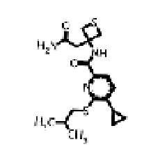 CC(C)CSc1nc(C(=O)NC2(CC(N)=O)CSC2)ccc1C1CC1